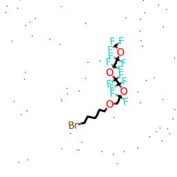 FC(F)(F)OC(F)(F)C(F)(F)OC(F)(F)C(F)(F)OC(F)(F)COCCCCCBr